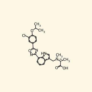 CC(C)Oc1ccc(-c2nc(-c3cccc4c(CN(C)[C@@H](C)C(=O)O)c[nH]c34)no2)cc1Cl